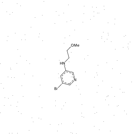 COCCNc1cncc(Br)c1